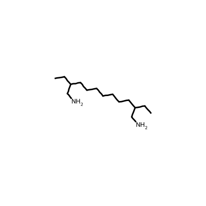 CCC(CN)CCCCCCCC(CC)CN